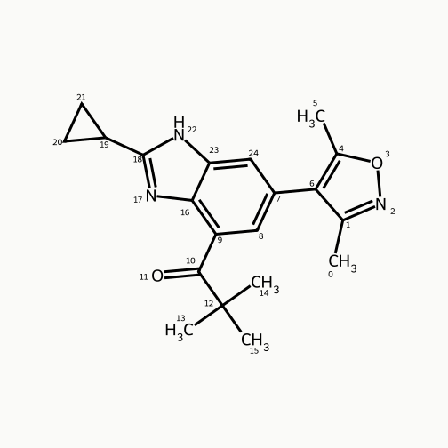 Cc1noc(C)c1-c1cc(C(=O)C(C)(C)C)c2nc(C3CC3)[nH]c2c1